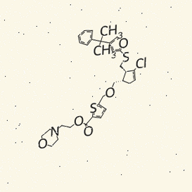 CC(C)(c1ccccc1)c1coc(SC[C@H]2C(Cl)=CC[C@@H]2COCc2ccc(C(=O)OCCN3CCOCC3)s2)c1